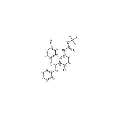 CC(C)(C)OC(=O)N[C@H]1CCC(=O)N(CCc2ccccn2)[C@@H]1c1cc(F)ccc1F